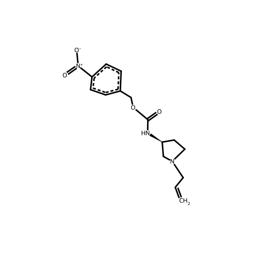 C=CCN1CC[C@H](NC(=O)OCc2ccc([N+](=O)[O-])cc2)C1